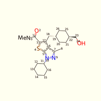 CNC(=O)c1sc2c(c(C)nn2C2CCCCC2)c1C[C@H]1CC[C@H](CO)CC1